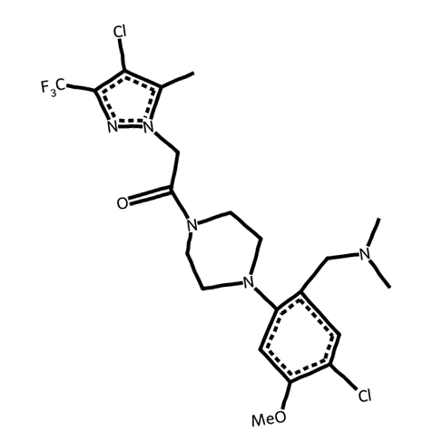 COc1cc(N2CCN(C(=O)Cn3nc(C(F)(F)F)c(Cl)c3C)CC2)c(CN(C)C)cc1Cl